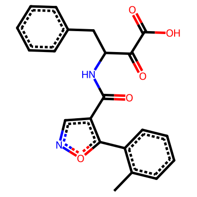 Cc1ccccc1-c1oncc1C(=O)NC(Cc1ccccc1)C(=O)C(=O)O